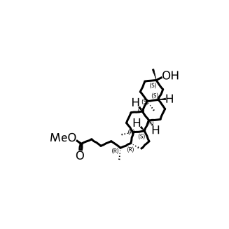 COC(=O)CCC[C@@H](C)[C@H]1CC[C@H]2[C@@H]3CC[C@H]4C[C@@](C)(O)CC[C@]4(C)[C@H]3CC[C@]12C